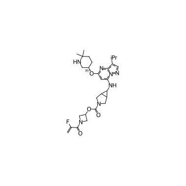 C=C(F)C(=O)N1CC(OC(=O)N2CC3C(C2)C3Nc2cc(O[C@@H]3CCC(C)(C)NC3)nc3c(C(C)C)cnn23)C1